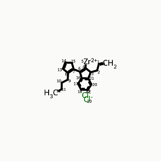 C=CCC1[C]([Zr+2])=C(C2=C(CCCC)C=CC2)c2ccccc21.[Cl-].[Cl-]